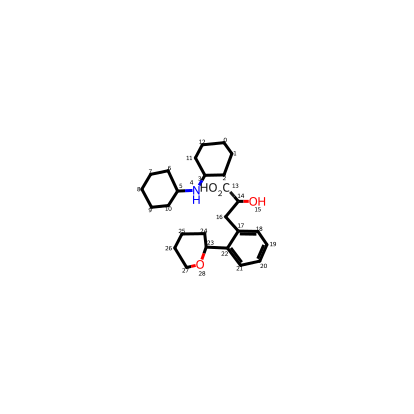 C1CCC(NC2CCCCC2)CC1.O=C(O)C(O)Cc1ccccc1C1CCCCO1